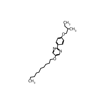 CCCCCCCCCCOc1cnc(-c2ccc(OCC(C)CC)cc2)nc1